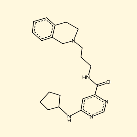 O=C(NCCCN1CCc2ccccc2C1)c1cc(NC2CCCC2)ncn1